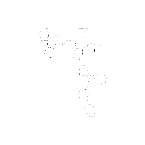 CC1(C)c2ccccc2N(c2ccc3c4ccccc4c4ccccc4c3c2)c2ccc(-c3ccc4c(c3)c3ccccc3n4-c3ccc4sc5ccccc5c4c3)cc21